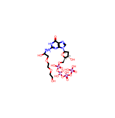 NC(O)COCCOCCO.Nc1nc2c(ncn2[C@H]2C[C@H](O)[C@@H](COP(=O)(O)OP(=O)(O)OP(=O)(O)OP(=O)(O)O)O2)c(=O)[nH]1